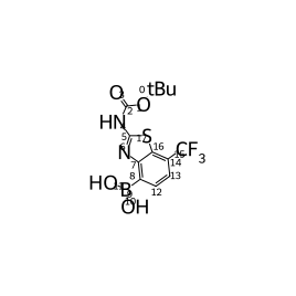 CC(C)(C)OC(=O)Nc1nc2c(B(O)O)ccc(C(F)(F)F)c2s1